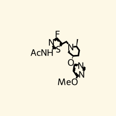 COc1cc(O[C@H]2CC[C@H](C)N(Cc3sc(NC(C)=O)nc3F)C2)ncn1